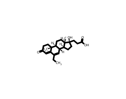 CCC1=C[C@@H]2[C@H](CC[C@@]3(C)[C@H]2CC[C@@]3(O)CCC(=O)O)[C@@]2(C)CCC(=O)C=C12